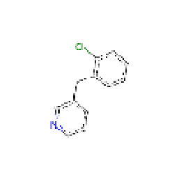 Clc1ccccc1Cc1[c]nccc1